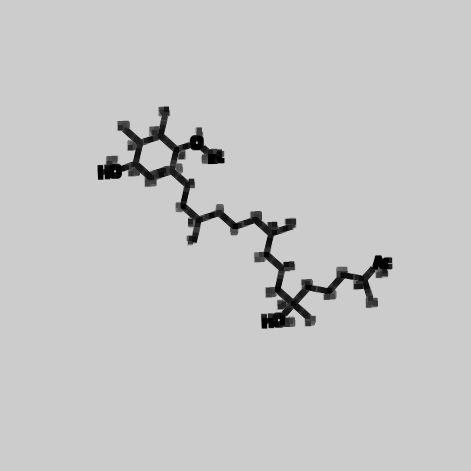 CCOC1C(CCC(C)CCCC(C)CCCC(C)(O)CCCC(C)C(C)=O)=CC(O)C(C)C1C